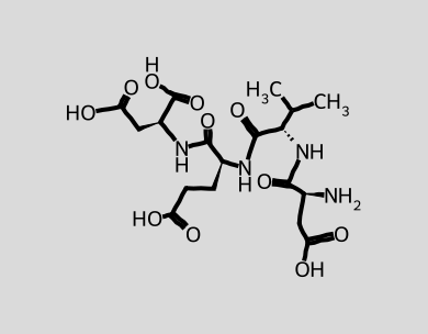 CC(C)[C@H](NC(=O)[C@@H](N)CC(=O)O)C(=O)N[C@@H](CCC(=O)O)C(=O)N[C@@H](CC(=O)O)C(=O)O